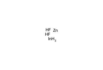 F.F.[InH3].[Zn]